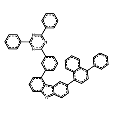 c1ccc(-c2nc(-c3ccccc3)nc(-c3cccc(-c4cccc5oc6ccc(-c7ccc(-c8ccccc8)c8ccccc78)cc6c45)c3)n2)cc1